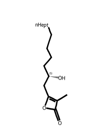 CCCCCCCCCCC[C@H](O)CC1=C(C)C(=O)O1